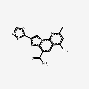 Cc1cc(C(F)(F)F)c2cc(C(N)=O)c3nc(-c4nnco4)cn3c2n1